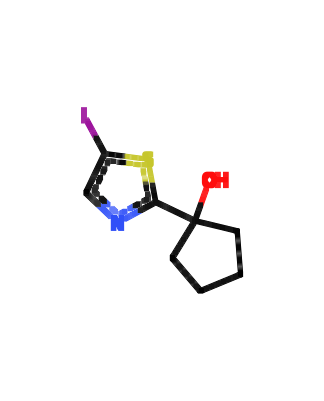 OC1(c2ncc(I)s2)CCCC1